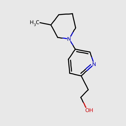 CC1CCCN(c2ccc(CCO)nc2)C1